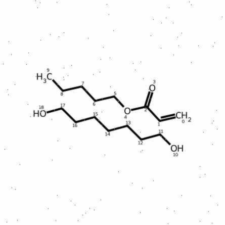 C=CC(=O)OCCCCC.OCCCCCCCO